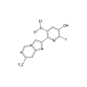 CC[S+]([O-])c1cc(O)c(I)nc1-c1cn2cnc(C(F)(F)F)cc2n1